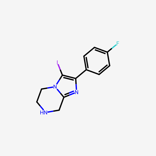 Fc1ccc(-c2nc3n(c2I)CCNC3)cc1